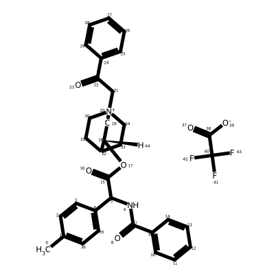 Cc1ccc(C(NC(=O)c2ccccc2)C(=O)O[C@H]2C[N+]3(CC(=O)c4ccccc4)CCC2CC3)cc1.O=C([O-])C(F)(F)F